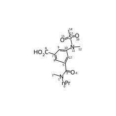 CCCN(C)C(=O)c1cc(C(=O)O)cc(N(C)S(C)(=O)=O)c1